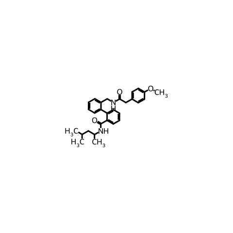 COc1ccc(CC(=O)NCc2ccccc2-c2ccccc2C(=O)NC(C)CC(C)C)cc1